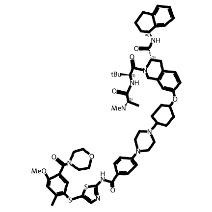 CN[C@@H](C)C(=O)N[C@H](C(=O)N1Cc2cc(OC3CCC(N4CCN(c5ccc(C(=O)Nc6ncc(Sc7cc(C(=O)N8CCOCC8)c(OC)cc7C)s6)cc5)CC4)CC3)ccc2C[C@H]1C(=O)N[C@@H]1CCCc2ccccc21)C(C)(C)C